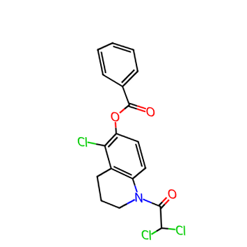 O=C(Oc1ccc2c(c1Cl)CCCN2C(=O)C(Cl)Cl)c1ccccc1